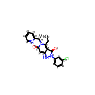 COCc1c2c(=O)n(-c3cccc(Cl)c3)[nH]c2cc(=O)n1Cc1ccccn1